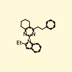 CCc1cc2ccccc2n1-c1nc2c(c(CCc3ccccc3)n1)CCCC2